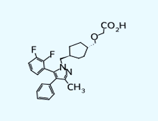 Cc1nn(C[C@H]2CC[C@H](COCC(=O)O)CC2)c(-c2cccc(F)c2F)c1-c1ccccc1